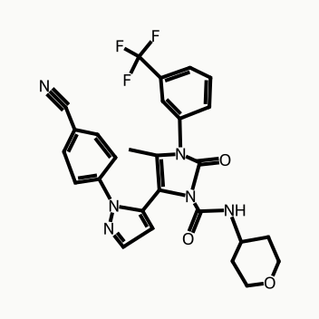 Cc1c(-c2ccnn2-c2ccc(C#N)cc2)n(C(=O)NC2CCOCC2)c(=O)n1-c1cccc(C(F)(F)F)c1